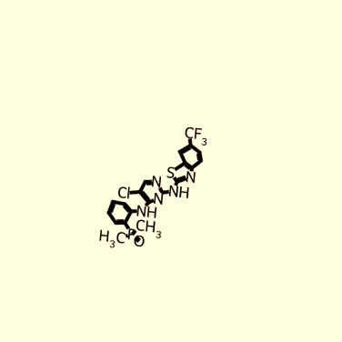 CP(C)(=O)c1ccccc1Nc1nc(Nc2nc3ccc(C(F)(F)F)cc3s2)ncc1Cl